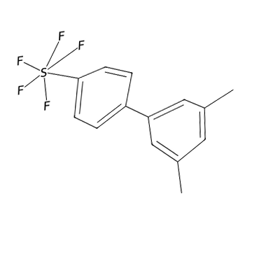 Cc1cc(C)cc(-c2ccc(S(F)(F)(F)(F)F)cc2)c1